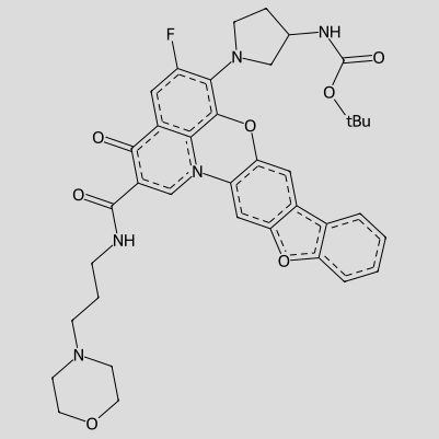 CC(C)(C)OC(=O)NC1CCN(c2c(F)cc3c(=O)c(C(=O)NCCCN4CCOCC4)cn4c3c2Oc2cc3c(cc2-4)oc2ccccc23)C1